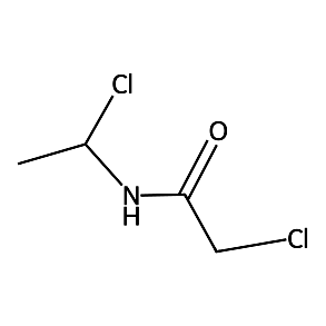 CC(Cl)NC(=O)CCl